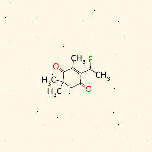 CC1=C(C(C)F)C(=O)CC(C)(C)C1=O